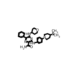 CN(C)C1CCN(c2ccc(Nc3nc(NC4CCOCC4)c(-c4ccccc4)nc3C(N)=O)cc2)CC1